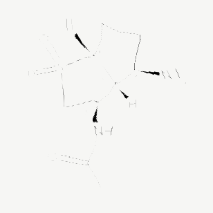 CC(=O)N[C@H]1CS(=O)(=O)[C@@H]2CC[C@@H](N)[C@H]12